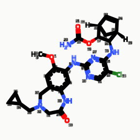 COc1cc2c(cc1Nc1ncc(Cl)c(N[C@H]3[C@@H](OC(N)=O)[C@@H]4C=C[C@H]3C4)n1)NC(=O)CN(CC1CC1)C2